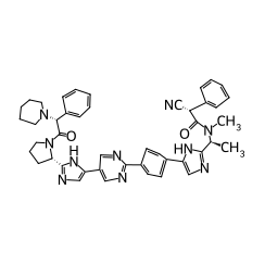 C[C@@H](c1ncc(-c2ccc(-c3ncc(-c4cnc([C@@H]5CCCN5C(=O)[C@@H](c5ccccc5)N5CCCCC5)[nH]4)cn3)cc2)[nH]1)N(C)C(=O)[C@H](C#N)c1ccccc1